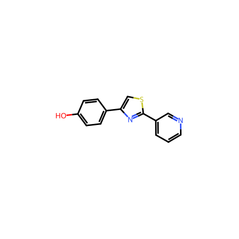 Oc1ccc(-c2csc(-c3cccnc3)n2)cc1